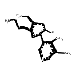 C/C=c1/cc(F)c(-c2cncc(N)c2C)c/c1=C/CN